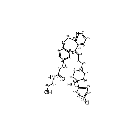 O=C(COc1ccc2c(c1)C(=CCCN1CCC(O)(c3ccc(Cl)cc3)CC1)c1cccnc1CO2)NCCO